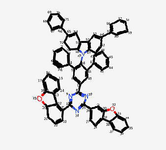 c1cccc(-c2cc(-c3nc(C4=C5c6ccccc6OC5CC=C4)nc(-c4ccc5c(c4)oc4ccccc45)n3)cc(-c3ccccc3)c2-n2c3c(c4cc(-c5ccccc5)ccc42)C=C(c2ccccc2)CC3)c#1